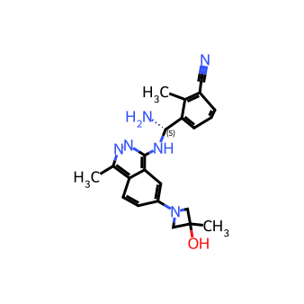 Cc1c(C#N)cccc1[C@@H](N)Nc1nnc(C)c2ccc(N3CC(C)(O)C3)cc12